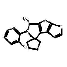 Cc1ccccc1N1[C@@H](C)c2sc3occc3c2C12CCCC2